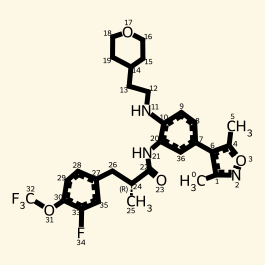 Cc1noc(C)c1-c1ccc(NCCC2CCOCC2)c(NC(=O)[C@H](C)Cc2ccc(OC(F)(F)F)c(F)c2)c1